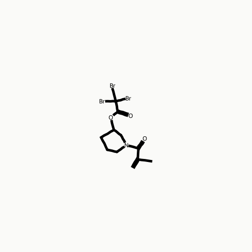 C=C(C)C(=O)N1CCCC(OC(=O)C(Br)(Br)Br)C1